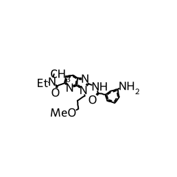 CCN(C)C(=O)c1ccc2nc(NC(=O)c3cccc(N)c3)n(CCCOC)c2n1